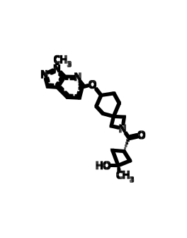 Cn1ncc2ccc(OC3CCC4(CC3)CN(C(=O)[C@H]3C[C@@](C)(O)C3)C4)nc21